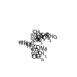 CCCCCCC1(CCCCCC)c2cc(-c3ccc4c(c3)C3(c5cc(C)ccc5-4)c4cc(C)c(OC)cc4-c4c(C)cc(C(F)(F)F)cc43)ccc2-c2ccc(-c3ccc4c(c3)C3(c5ccccc5-4)c4cc(C)cc(C(F)(F)F)c4-c4c3cc(C)c(OC(=O)Oc3ccc(C(C)(C)c5ccc(OC=O)cc5)cc3)c4C)cc21